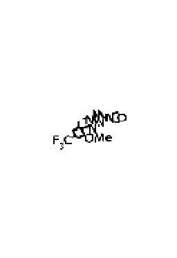 COc1cc(C(F)(F)F)cc(C)c1-c1nc2nc(N3CCOCC3)cnc2n1C